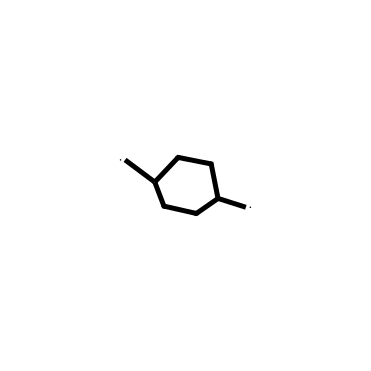 [CH2]C1CCC([CH2])CC1